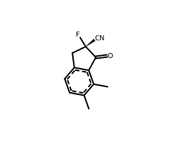 Cc1ccc2c(c1C)C(=O)[C@](F)(C#N)C2